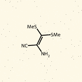 CSC(SC)=C(N)C#N